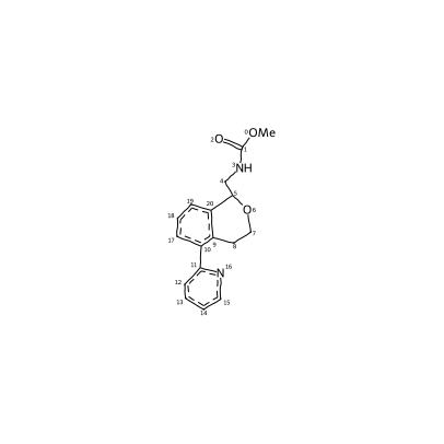 COC(=O)NCC1OCCc2c(-c3ccccn3)cccc21